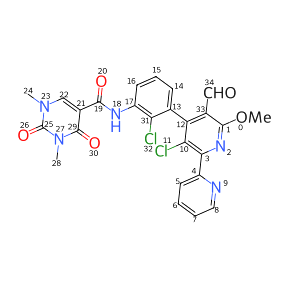 COc1nc(-c2ccccn2)c(Cl)c(-c2cccc(NC(=O)c3cn(C)c(=O)n(C)c3=O)c2Cl)c1C=O